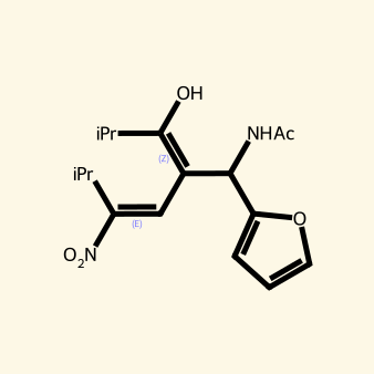 CC(=O)NC(C(/C=C(\C(C)C)[N+](=O)[O-])=C(\O)C(C)C)c1ccco1